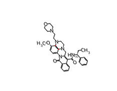 CC[C@H](NC(=O)c1c(CN2CCN(CCN3CCOCC3)CC2)n(-c2ccc(OC)cc2)c(=O)c2ccccc12)c1ccccc1